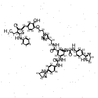 CCC1=C(Nc2ccccc2)S/C(=C\c2ccc(OCCn3cc(CCNC(=O)c4cc(NC(=O)Nc5ccc(C6=NCCN6)cc5)cc(NC(=O)Nc5ccc(C6=NCCN6)cc5)c4)nn3)c(O)c2)C1=O